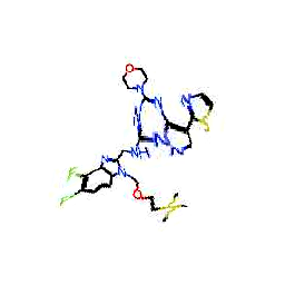 CS(C)(C)CCOCn1c(CNc2nc(N3CCOCC3)nc3c(-c4nccs4)cnn23)nc2c(F)c(F)ccc21